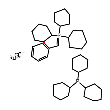 C(c1ccccc1)=P(C1CCCCC1)(C1CCCCC1)C1CCCCC1.C1CCC(P(C2CCCCC2)C2CCCCC2)CC1.[Cl-].[Cl-].[Ru+2]